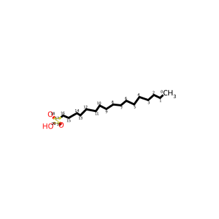 CCCCCCCCCCCCCCCCCS(=O)(=O)O